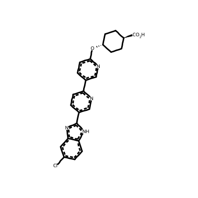 O=C(O)[C@H]1CC[C@H](Oc2ccc(-c3ccc(-c4nc5cc(Cl)ccc5[nH]4)cn3)cn2)CC1